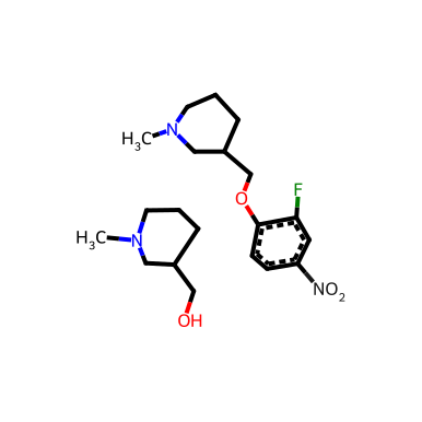 CN1CCCC(CO)C1.CN1CCCC(COc2ccc([N+](=O)[O-])cc2F)C1